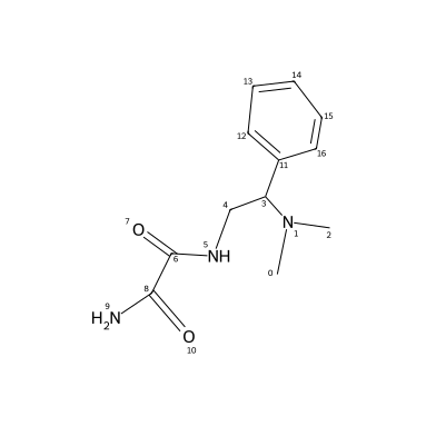 CN(C)C(CNC(=O)C(N)=O)c1ccccc1